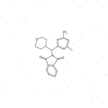 Cc1cc(C(C2CCOCC2)N2C(=O)c3ccccc3C2=O)cc(C(F)(F)F)c1